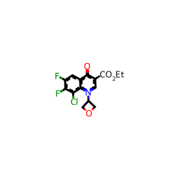 CCOC(=O)c1cn(C2COC2)c2c(Cl)c(F)c(F)cc2c1=O